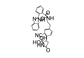 N#Cc1cc(CCNS(=O)(=O)c2ccccc2-c2nc3ccccc3[nH]2)ccc1C1CC(=O)NS1(O)O